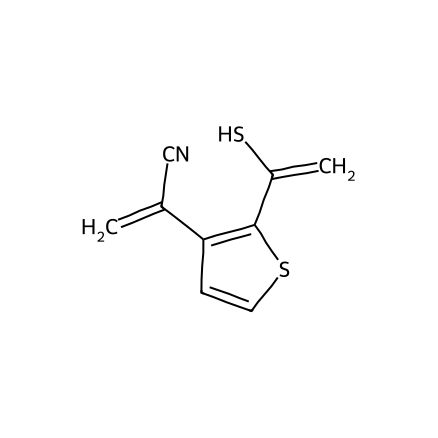 C=C(C#N)c1ccsc1C(=C)S